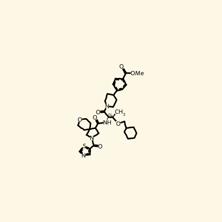 COC(=O)c1ccc(C2CCN(C(=O)[C@@H](NC(=O)C3CN(C(=O)c4cncs4)CC34CCOCC4)[C@@H](C)OCC3CCCCC3)CC2)cc1